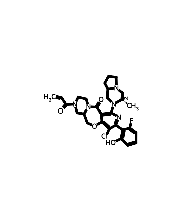 C=CC(=O)N1CCN2C(=O)c3c(N4CC5CCCN5C[C@@H]4C)nc(-c4c(O)cccc4F)c(Cl)c3OCC2C1